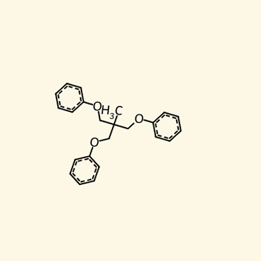 CC(COc1ccccc1)(COc1ccccc1)COc1ccccc1